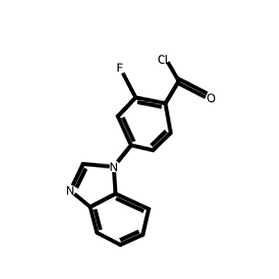 O=C(Cl)c1ccc(-n2cnc3ccccc32)cc1F